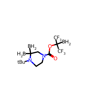 BC1(B)CN(C(=O)OC(B)(C(F)(F)F)C(F)(F)F)CCN1C(C)(C)C